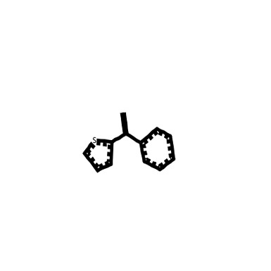 C=C(c1ccccc1)c1c[c]cs1